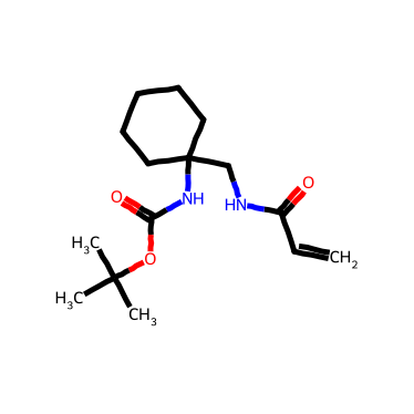 C=CC(=O)NCC1(NC(=O)OC(C)(C)C)CCCCC1